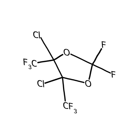 FC1(F)OC(Cl)(C(F)(F)F)C(Cl)(C(F)(F)F)O1